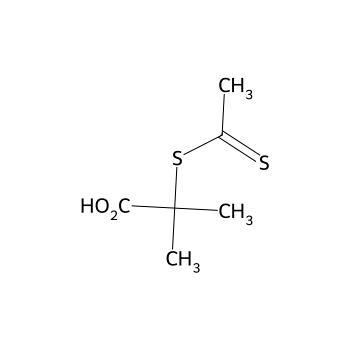 CC(=S)SC(C)(C)C(=O)O